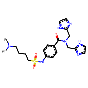 CC(C)N(CCCCS(=O)(=O)Nc1ccc(C(=O)N(Cc2ncc[nH]2)Cc2ncc[nH]2)cc1)C(C)C